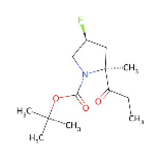 CCC(=O)[C@]1(C)C[C@H](F)CN1C(=O)OC(C)(C)C